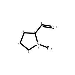 O=CC1CCCN1F